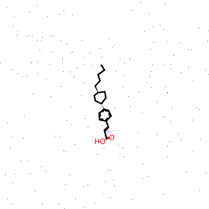 CCCCC[C@H]1CC[C@H](c2ccc(/C=C/C(=O)O)cc2)CC1